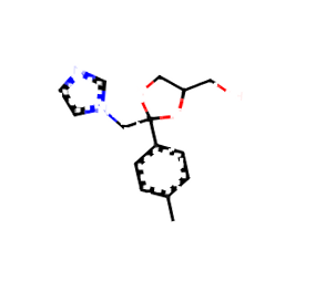 Cc1ccc(C2(Cn3ccnc3)OCC(CO)O2)cc1